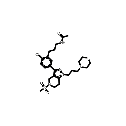 CC(=O)NCCCc1cc(-c2nn(CCCN3CCOCC3)c3c2CN(S(C)(=O)=O)CC3)ccc1Cl